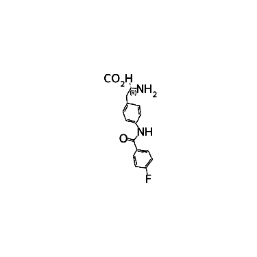 N[C@H](Cc1ccc(NC(=O)c2ccc(F)cc2)cc1)C(=O)O